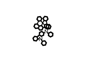 c1ccc(-c2ccc3cccc4c3c2C2(c3ccccc3-c3ccc(N(c5ccccc5)c5ccc6c7ccccc7n(-c7ccccc7)c6c5)cc32)c2ccccc2-4)cc1